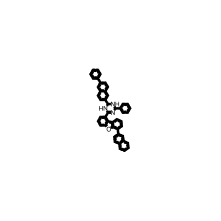 c1ccc(-c2ccc3cc(C4NC(c5cccc6oc7c(-c8ccc9ccccc9c8)cccc7c56)=NC(c5ccccc5)N4)ccc3c2)cc1